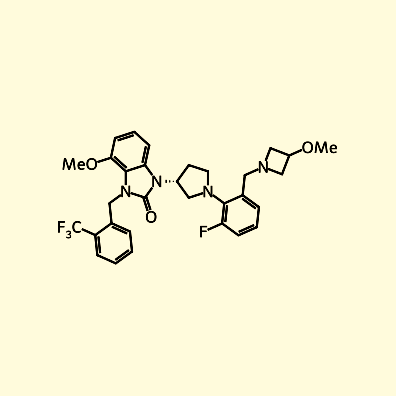 COc1cccc2c1n(Cc1ccccc1C(F)(F)F)c(=O)n2[C@@H]1CCN(c2c(F)cccc2CN2CC(OC)C2)C1